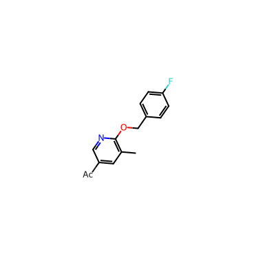 CC(=O)c1cnc(OCc2ccc(F)cc2)c(C)c1